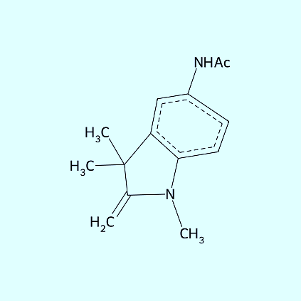 C=C1N(C)c2ccc(NC(C)=O)cc2C1(C)C